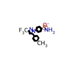 CC1C=CC(c2cc(C(F)(F)F)nn2-c2ccc([S+](N)[O-])cc2)=CC1